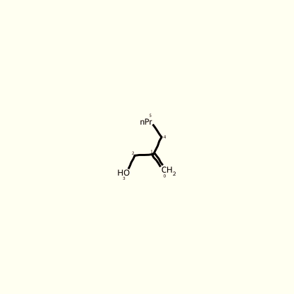 C=C(CO)CCCC